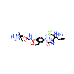 C#CCc1[nH]nc(C(F)(F)F)c1-c1cnc(C(=O)Nc2ccc(C(=O)NCCOCC(C)(C)N)c(CC)c2)n1C